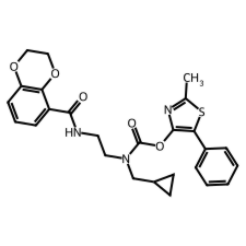 Cc1nc(OC(=O)N(CCNC(=O)c2cccc3c2OCCO3)CC2CC2)c(-c2ccccc2)s1